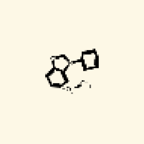 CC(=O)O.c1ccc(N2COc3ccccc32)cc1